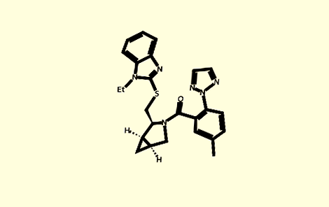 CCn1c(SC[C@@H]2[C@@H]3C[C@@H]3CN2C(=O)c2cc(C)ccc2-n2nccn2)nc2ccccc21